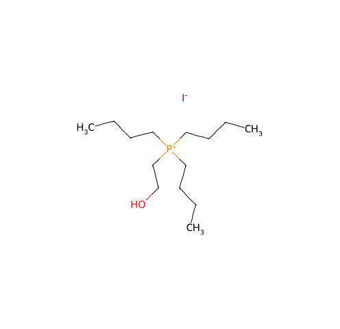 CCCC[P+](CCO)(CCCC)CCCC.[I-]